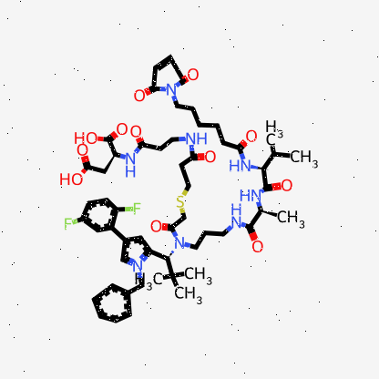 CC(C)[C@H](NC(=O)CCCCCN1C(=O)C=CC1=O)C(=O)N[C@@H](C)C(=O)NCCCN(C(=O)CSCCC(=O)NCCC(=O)N[C@@H](CC(=O)O)C(=O)O)[C@@H](c1cc(-c2cc(F)ccc2F)cn1Cc1ccccc1)C(C)(C)C